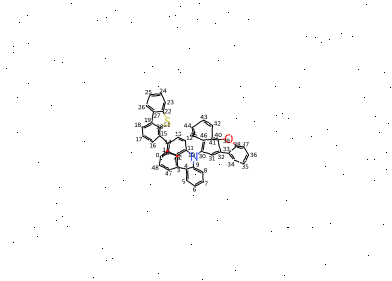 c1ccc(-c2ccccc2N(c2ccc(-c3cccc4c3sc3ccccc34)cc2)c2cc3c4ccccc4oc3c3ccccc23)cc1